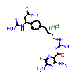 Cl.Cl.N=C(N)NC(CC(N)=O)c1ccc(CCCCNC(N)=NC(=O)c2nc(Cl)c(N)nc2N)cc1